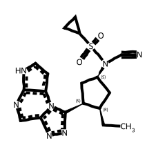 CC[C@@H]1C[C@H](N(C#N)S(=O)(=O)C2CC2)C[C@@H]1c1nnc2cnc3[nH]ccc3n12